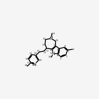 Cc1ccc2c(c1)c1c(n2C)C(CCc2ccc(C)nc2)CCN(C)C1